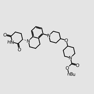 CCCCOC(=O)N1CCC(OC2CCN(c3cccc4c3CCCN4[C@H]3CCC(=O)NC3=O)CC2)CC1